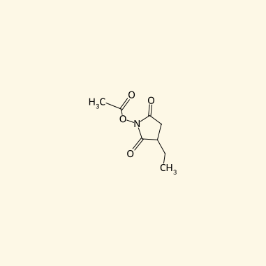 CCC1CC(=O)N(OC(C)=O)C1=O